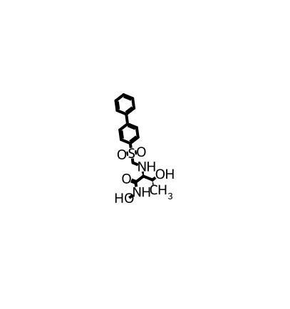 C[C@@H](O)[C@H](NCS(=O)(=O)c1ccc(-c2ccccc2)cc1)C(=O)NO